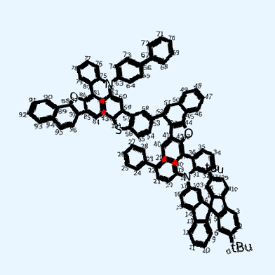 CC(C)(C)c1ccc2c(c1)C1(c3ccccc3-c3ccc(N(c4ccc(-c5ccccc5)cc4)c4ccccc4-c4cccc5c4oc4c6ccccc6cc(-c6ccc7c(c6)C6C=C(N(c8ccc(-c9ccccc9)cc8)c8ccccc8-c8cccc9c8oc8c%10ccccc%10ccc98)C=CC6S7)c54)cc31)c1cc(C(C)(C)C)ccc1-2